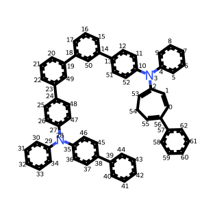 C1=CC(N(c2ccccc2)c2ccc(-c3cccc(-c4cccc(-c5ccc(N(c6ccccc6)c6ccc(-c7ccccc7)cc6)cc5)c4)c3)cc2)=CCC=C1c1ccccc1